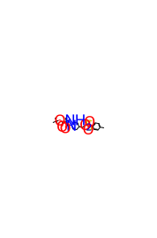 Cc1ccc(S(=O)(=O)OCC2CCN(C(=O)C(C)(N)C(=O)OC(C)(C)C)CC2)cc1